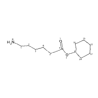 NCCCCCC(=O)OC1CCCCC1